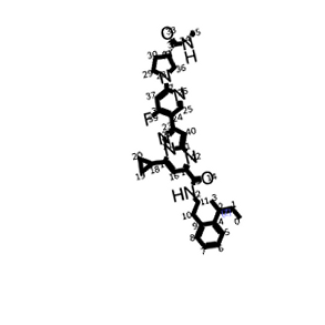 C/C=C(/C)c1ccccc1CCNC(=O)c1cc(C2CC2)n2nc(-c3cnc(N4CC[C@H](C(=O)NC)C4)cc3F)cc2n1